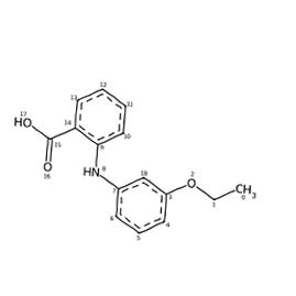 CCOc1cccc(Nc2ccccc2C(=O)O)c1